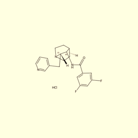 Cl.O=C(N[C@@H]1C2CCN(CC2)[C@H]1Cc1cccnc1)c1cc(F)cc(F)c1